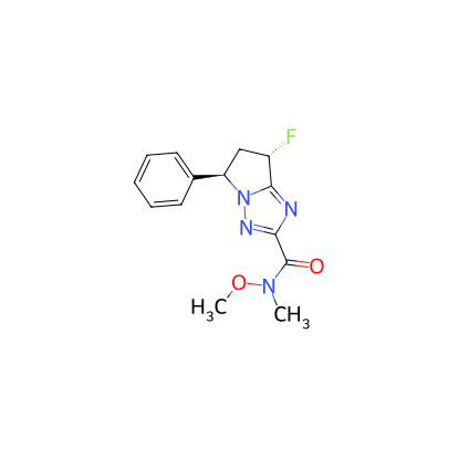 CON(C)C(=O)c1nc2n(n1)[C@@H](c1ccccc1)C[C@@H]2F